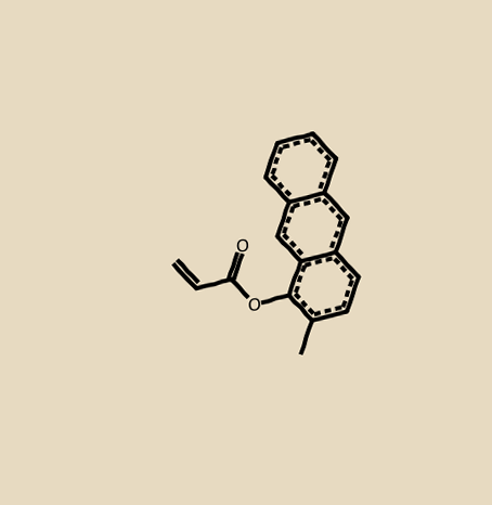 C=CC(=O)Oc1c(C)ccc2cc3ccccc3cc12